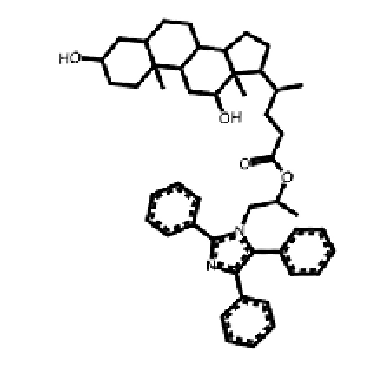 CC(Cn1c(-c2ccccc2)nc(-c2ccccc2)c1-c1ccccc1)OC(=O)CCC(C)C1CCC2C3CCC4CC(O)CCC4(C)C3CC(O)C12C